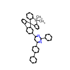 C[Si]1(C)c2ccccc2C2(c3ccccc3-c3ccc(-c4cc(-c5ccc(-c6ccccc6)cc5)nc(-c5ccccc5)n4)cc32)c2ccccc21